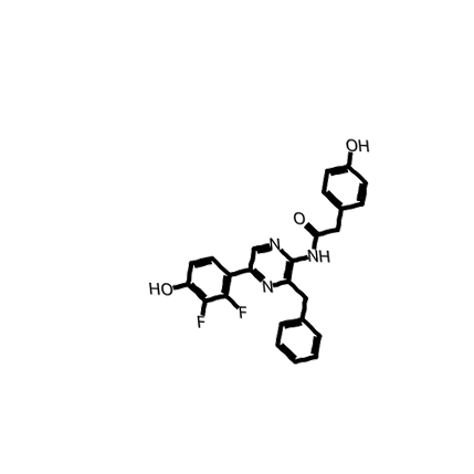 O=C(Cc1ccc(O)cc1)Nc1ncc(-c2ccc(O)c(F)c2F)nc1Cc1ccccc1